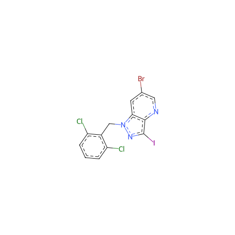 Clc1cccc(Cl)c1Cn1nc(I)c2ncc(Br)cc21